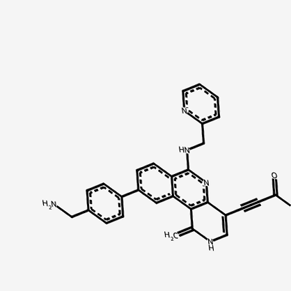 C=C1NC=C(C#CC(N)=O)c2nc(NCc3ccccn3)c3ccc(-c4ccc(CN)cc4)cc3c21